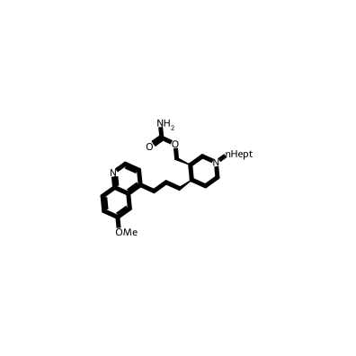 CCCCCCCN1CC[C@@H](CCCc2ccnc3ccc(OC)cc23)[C@@H](COC(N)=O)C1